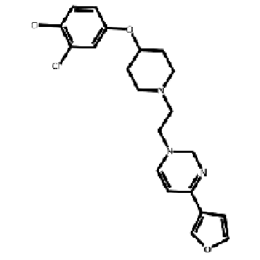 Clc1ccc(OC2CCN(CCN3C=CC(c4ccoc4)=NC3)CC2)cc1Cl